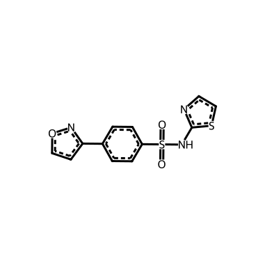 O=S(=O)(Nc1nccs1)c1ccc(-c2ccon2)cc1